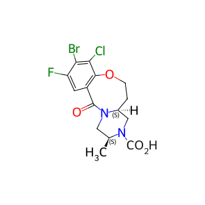 C[C@H]1CN2C(=O)c3cc(F)c(Br)c(Cl)c3OCC[C@H]2CN1C(=O)O